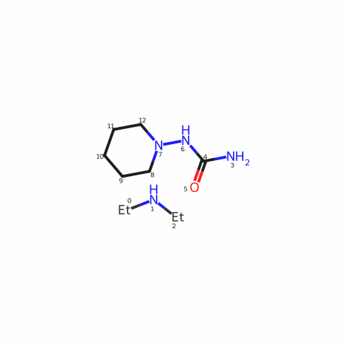 CCNCC.NC(=O)NN1CCCCC1